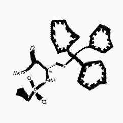 C=CS(=O)(=O)N[C@@H](CSC(c1ccccc1)(c1ccccc1)c1ccccc1)C(=O)OC